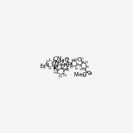 CCN1CCC(C#N)(NC(=O)[C@@](C)(NC(=O)c2ccc(-c3cc(C(=O)OC)ccc3Cl)cc2)c2c(F)cccc2F)CC1